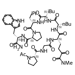 CCCC[C@H](NC(=O)[C@H](CCC(=O)C(=O)NC)NC(=O)CNC(=O)[C@@H]1CCCN1C(C)=O)C(=O)N[C@H](C(=O)N[C@@H](CC(C)C)C(=O)N1CCC[C@H]1C(=O)N[C@@H](Cc1c[nH]c2ccccc12)C(N)=O)[C@@H](C)CC